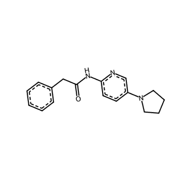 O=C(Cc1ccccc1)Nc1ccc(N2CCCC2)cn1